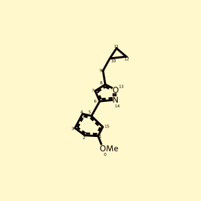 COc1cccc(-c2cc(CC3CC3)on2)c1